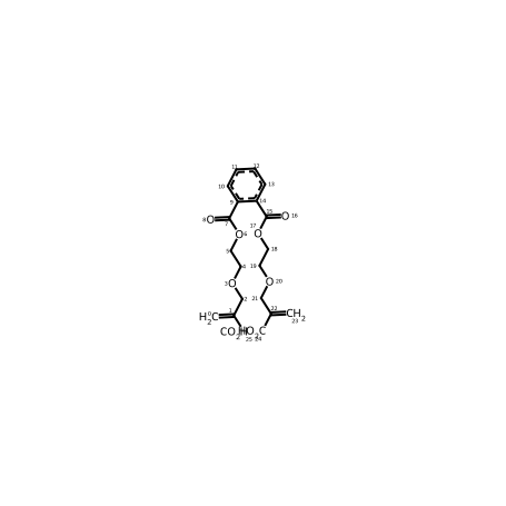 C=C(COCCOC(=O)c1ccccc1C(=O)OCCOCC(=C)C(=O)O)C(=O)O